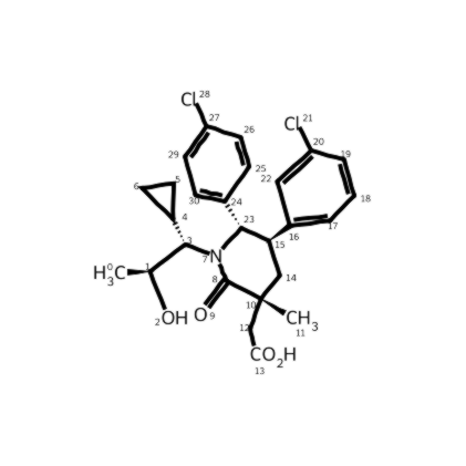 C[C@H](O)[C@H](C1CC1)N1C(=O)[C@@](C)(CC(=O)O)C[C@H](c2cccc(Cl)c2)[C@H]1c1ccc(Cl)cc1